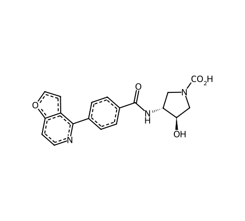 O=C(N[C@@H]1CN(C(=O)O)C[C@H]1O)c1ccc(-c2nccc3occc23)cc1